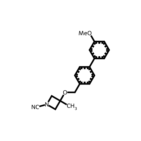 COc1cccc(-c2ccc(COC3(C)CN(C#N)C3)cc2)c1